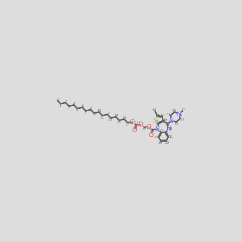 CCCCCCCCCCCCCCCCCCOC(=O)OCOC(=O)N1c2ccccc2N=C(N2CCN(C)CC2)c2cc(C)sc21